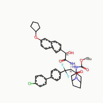 CC(C)(C)OC(=O)NC1CC2CCC(C1)N2C(=O)[C@@H](NC(=O)[C@H](O)c1ccc2cc(OC3CCCC3)ccc2c1)C(F)(F)c1ccc(-c2ccc(Cl)cc2)cc1